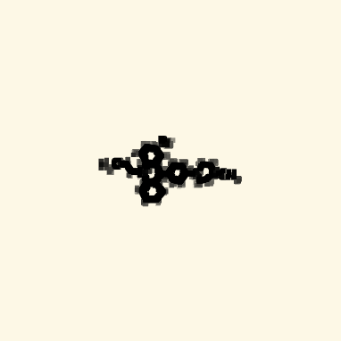 C=CC[n+]1c2ccccc2c(-c2ccc(N3CCN(C)CC3)cc2)c2ccccc21.[Br-]